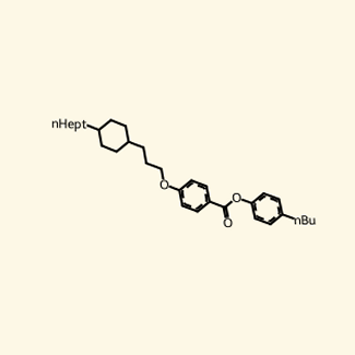 CCCCCCCC1CCC(CCCOc2ccc(C(=O)Oc3ccc(CCCC)cc3)cc2)CC1